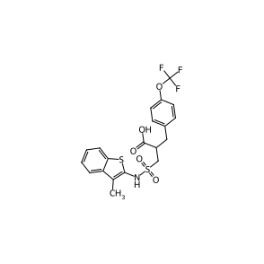 Cc1c(NS(=O)(=O)CC(Cc2ccc(OC(F)(F)F)cc2)C(=O)O)sc2ccccc12